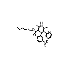 CCCCCCOC(=O)C1=C(C)NC(C)=C(c2ccccn2)C1c1cccc([N+](=O)[O-])c1